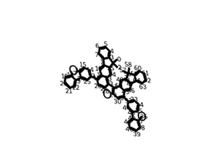 CC1(C)c2ccccc2-c2cc3c(-c4ccc5oc6ccccc6c5c4)cc4oc5cc(-c6ccc7oc8ccccc8c7c6)c6cc7c(cc6c5c4c3cc21)C(C)(C)c1ccccc1-7